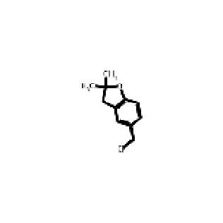 CC1(C)Cc2cc(CCl)ccc2O1